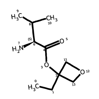 CCC1(OC(=O)[C@@H](N)C(C)C)COC1